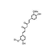 CCOc1cc(/C=C/C(=O)CC(=O)/C=C/c2ccc(O)c(OC)c2)ccc1O